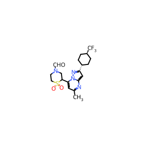 Cc1cc(C2CN(C=O)CCS2(=O)=O)n2nc([C@H]3CC[C@H](C(F)(F)F)CC3)cc2n1